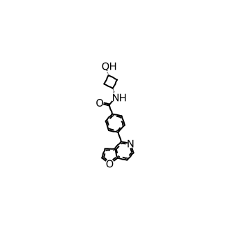 O=C(N[C@H]1C[C@@H](O)C1)c1ccc(-c2nccc3occc23)cc1